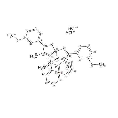 CCc1cccc(C2=CC[C]([Zr](=[SiH2])([C]3=C(C)C(c4cccc(CC)c4)=CC3)([c]3ccccc3)[c]3ccccc3)=C2C)c1.Cl.Cl